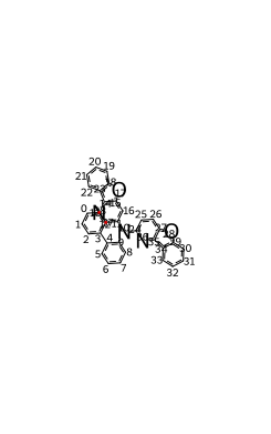 c1ccc(-c2ccccc2N(c2cnc3c(c2)oc2ccccc23)c2ccc3oc4ccccc4c3n2)cc1